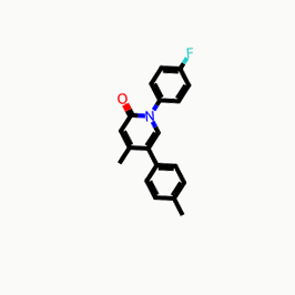 Cc1ccc(-c2cn(-c3ccc(F)cc3)c(=O)cc2C)cc1